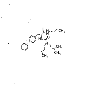 CCCCNC(=O)[C@H](Cc1ccc(-c2ccccc2)cc1)NC(=O)N(CCSC)CCC(C)C